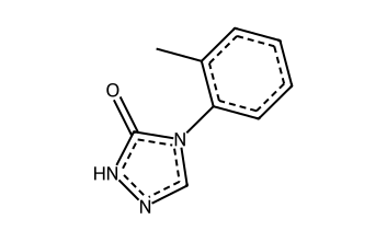 Cc1ccccc1-n1cn[nH]c1=O